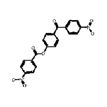 O=C(Oc1ccc(C(=O)c2ccc([N+](=O)[O-])cc2)cc1)c1ccc([N+](=O)[O-])cc1